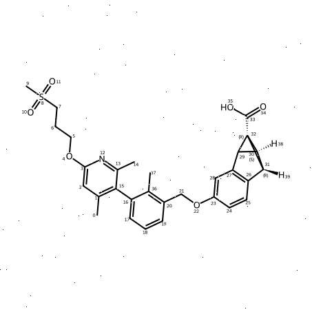 Cc1cc(OCCCS(C)(=O)=O)nc(C)c1-c1cccc(COc2ccc3c(c2)C2[C@@H]4[C@H]3[C@@]24C(=O)O)c1C